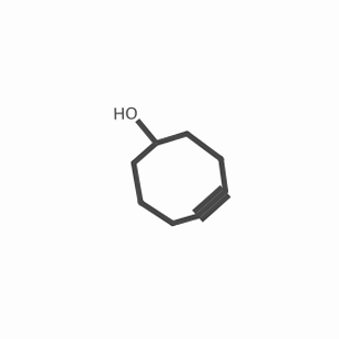 OC1CCC#CCCC1